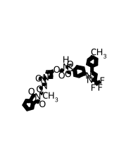 Cc1ccc(-c2cc(C(F)(F)F)nn2-c2ccc(S(=O)(=O)NC(=O)OC3CN(/[N+]([O-])=N/OC(C)N4C(=O)c5ccccc5C4=O)C3)cc2)cc1